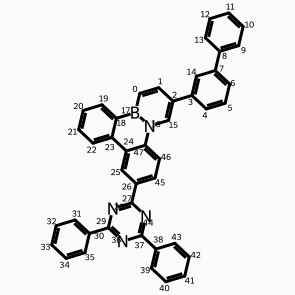 C1=CC(c2cccc(-c3ccccc3)c2)=CN2B1c1ccccc1-c1cc(-c3nc(-c4ccccc4)nc(-c4ccccc4)n3)ccc12